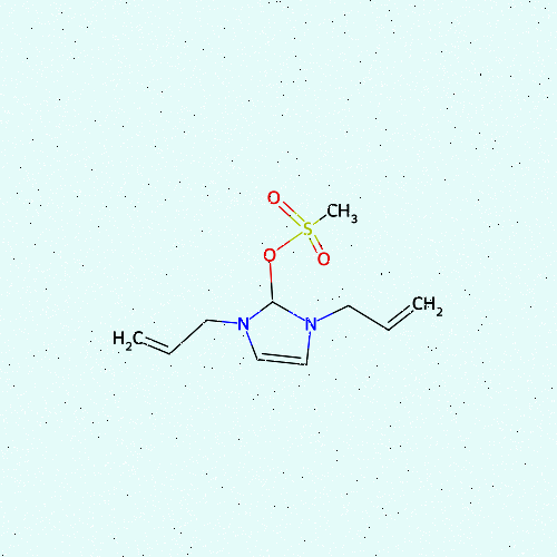 C=CCN1C=CN(CC=C)C1OS(C)(=O)=O